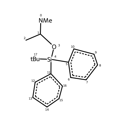 CNC(C)O[Si](c1ccccc1)(c1ccccc1)C(C)(C)C